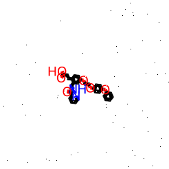 O=C(O)CCc1ccc(OCCOc2ccc(Oc3ccccc3)cc2)cc1CNC(=O)c1ccccn1